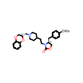 COc1ccc(C[C@H]2COC(=O)N2CCC2CCN(C[C@H]3COc4ccccc4O3)CC2)cc1